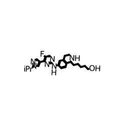 CC(C)n1cc(-c2nc(Nc3ccc4c(c3)CCNC4CCCCCO)ncc2F)cn1